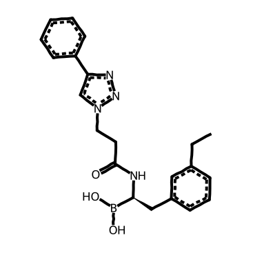 CCc1cccc(C[C@H](NC(=O)CCn2cc(-c3ccccc3)nn2)B(O)O)c1